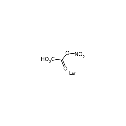 O=C(O)C(=O)O[N+](=O)[O-].[La]